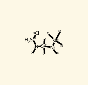 CN([SiH2]Cl)[Si](C)(C)N(C)[Si](C)(C)C